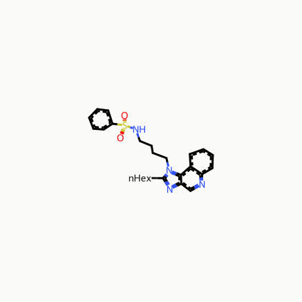 CCCCCCc1nc2cnc3ccccc3c2n1CCCCNS(=O)(=O)c1ccccc1